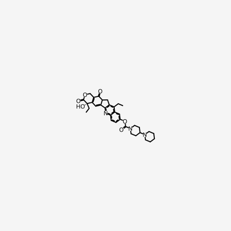 CCc1c2c(nc3ccc(OC(=O)N4CCC(N5CCCCC5)CC4)cc13)C1=CC3=C(COC(=O)[C@]3(O)CC)C(=O)C1C2